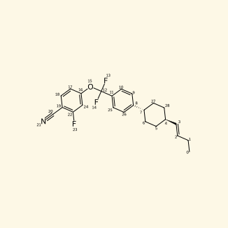 CCC=C[C@H]1CC[C@H](c2ccc(C(F)(F)Oc3ccc(C#N)c(F)c3)cc2)CC1